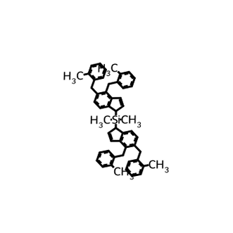 Cc1ccccc1Cc1ccc2c(c1Cc1ccccc1C)C=CC2[Si](C)(C)C1C=Cc2c1ccc(Cc1ccccc1C)c2Cc1ccccc1C